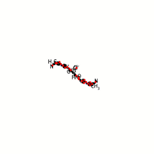 CN(CCC#N)c1ccc(/C=C/c2cc[n+](CCCC(=O)NCCSSCCNC(=O)CCC[n+]3ccc(/C=C/c4ccc(N(C)CCC#N)cc4)cc3)cc2)cc1.[Cl-].[Cl-]